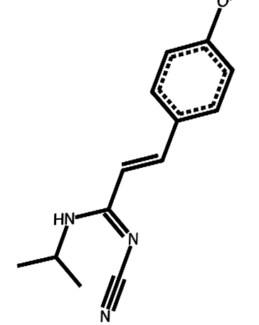 COc1ccc(C=CC(=NC#N)NC(C)C)cc1